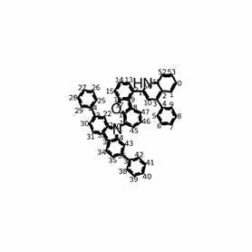 C1=CC2=C(c3ccccc3)C=C(c3cccc4oc5c(-n6c7cc(-c8ccccc8)ccc7c7ccc(-c8ccccc8)cc76)cccc5c34)NC2C=C1